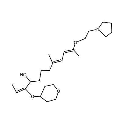 C/C=C(/OC1CCOCC1)C(C#N)CCC/C(C)=C/C=C(\C)OCCN1CCCC1